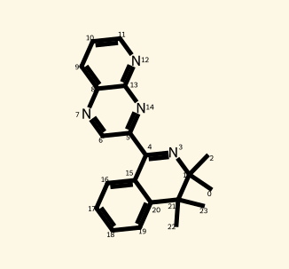 CC1(C)N=C(c2cnc3cccnc3n2)c2ccccc2C1(C)C